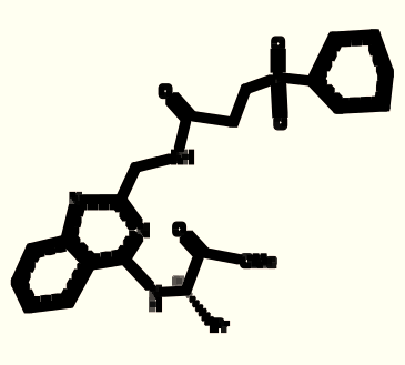 COC(=O)[C@@H](Nc1nc(CNC(=O)CCS(=O)(=O)c2ccccc2)nc2ccccc12)C(C)C